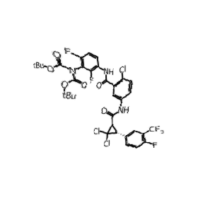 CC(C)(C)OC(=O)N(C(=O)OC(C)(C)C)c1c(F)ccc(NC(=O)c2cc(NC(=O)[C@H]3[C@H](c4ccc(F)c(C(F)(F)F)c4)C3(Cl)Cl)ccc2Cl)c1F